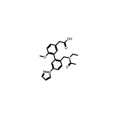 CCN(Cc1ccc(-n2cccn2)cc1-c1cc(CC(=O)O)ccc1OC)C(C)=O